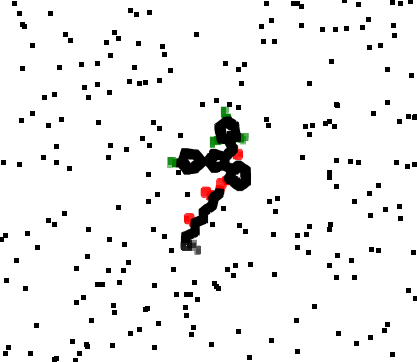 CCCC(=O)CCCC(=O)COc1ccccc1C1CC(c2ccc(F)cc2)=CC1C(=O)c1c(F)cc(F)cc1F